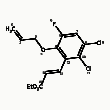 C=CCOc1c(F)cc(Cl)c(Cl)c1/C=C/C(=O)OCC